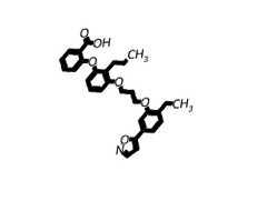 CCCc1c(OCCCOc2cc(-c3ccno3)ccc2CC)cccc1Oc1ccccc1C(=O)O